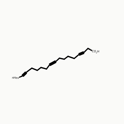 CCCCCCC#CCCCCC#CCCCCC#CCC(=O)O